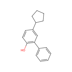 Oc1ccc(C2CCCC2)cc1-c1ccccc1